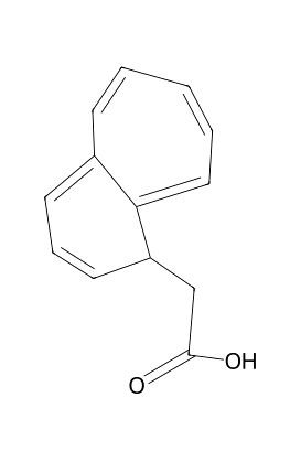 O=C(O)CC1C=CC=C2C=CC=CC=C21